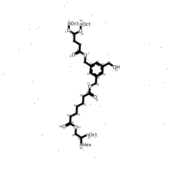 CCCCCCCCOC(CCC(=O)OCc1cc(CO)cc(COC(=O)CCCCCC(=O)OCC(CCCCCC)CCCCCCCC)c1)OCCCCCCCC